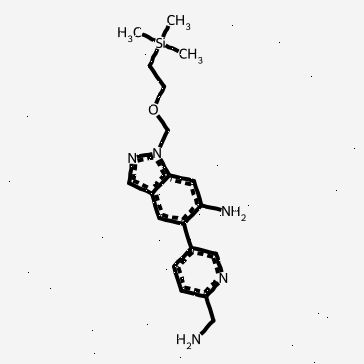 C[Si](C)(C)CCOCn1ncc2cc(-c3ccc(CN)nc3)c(N)cc21